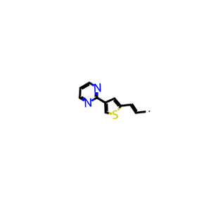 [CH2]/C=C/c1cc(-c2ncccn2)cs1